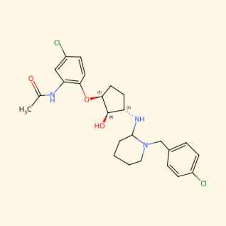 CC(=O)Nc1cc(Cl)ccc1O[C@H]1CC[C@H](NC2CCCCN2Cc2ccc(Cl)cc2)[C@H]1O